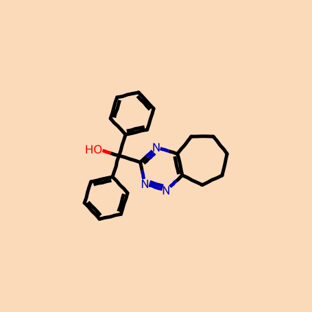 OC(c1ccccc1)(c1ccccc1)c1nnc2c(n1)CCCCC2